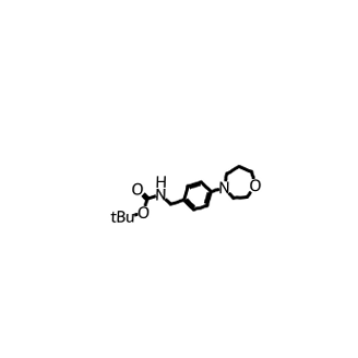 CC(C)(C)OC(=O)NCc1ccc(N2CCCOCC2)cc1